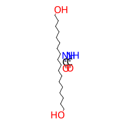 N=C=O.N=C=O.OCCCCCCCCCCCCCCCCCCO